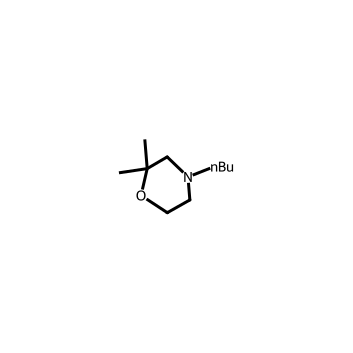 [CH2]CCCN1CCOC(C)(C)C1